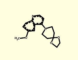 COc1ccc2nccc(N3CCC4(CC3)OCCO4)c2c1